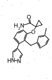 Cc1cccc(Cc2c(OC3(C(N)=O)CC3)[c]ccc2-c2cn[nH]c2)c1